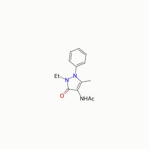 CCn1c(=O)c(NC(C)=O)c(C)n1-c1ccccc1